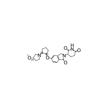 CO[C@H]1CCN([C@H]2CCC[C@H]2Oc2ccc3c(c2)CN(C2CCC(=O)NC2=O)C3=O)C1